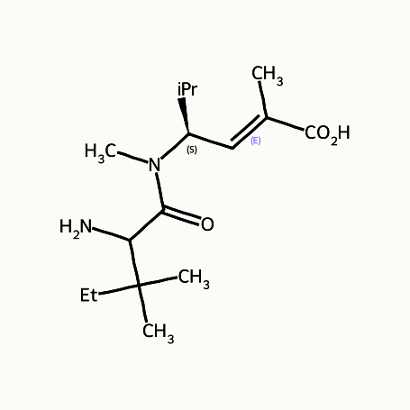 CCC(C)(C)C(N)C(=O)N(C)[C@H](/C=C(\C)C(=O)O)C(C)C